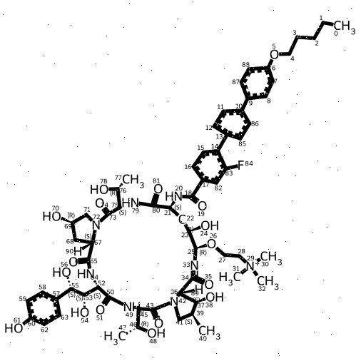 CCCCCOc1ccc(-c2ccc(-c3ccc(C(=O)N[C@H]4C[C@@H](O)[C@@H](OCC[N+](C)(C)C)NC(=O)[C@@H]5[C@@H](O)[C@@H](C)CN5C(=O)[C@H]([C@@H](C)O)NC(=O)[C@H]([C@H](O)[C@@H](O)c5ccc(O)cc5)NC(=O)[C@@H]5C[C@@H](O)CN5C(=O)[C@H]([C@@H](C)O)NC4=O)cc3F)cc2)cc1